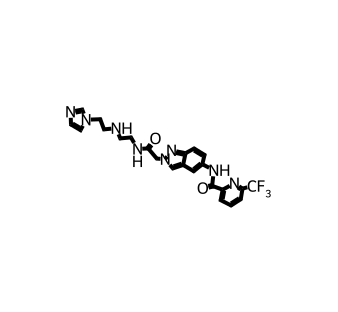 O=C(Cn1cc2cc(NC(=O)c3cccc(C(F)(F)F)n3)ccc2n1)NCCNCCn1ccnc1